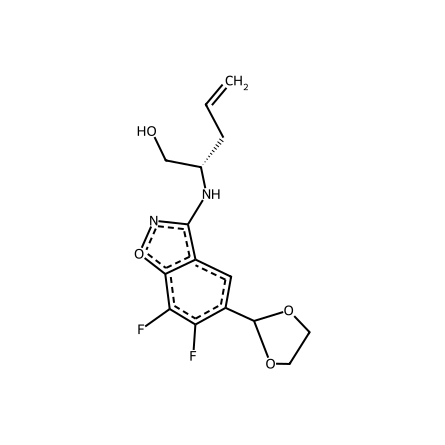 C=CC[C@@H](CO)Nc1noc2c(F)c(F)c(C3OCCO3)cc12